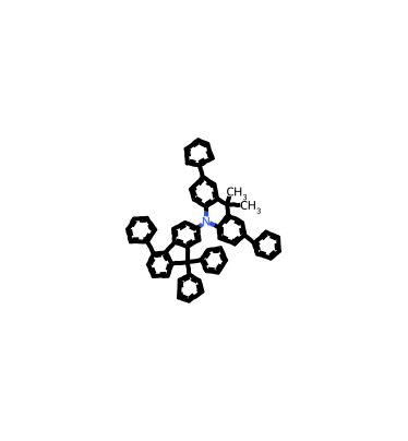 CC1(C)c2cc(-c3ccccc3)ccc2N(c2ccc3c(c2)C(c2ccccc2)(c2ccccc2)c2cccc(-c4ccccc4)c2-3)c2ccc(-c3ccccc3)cc21